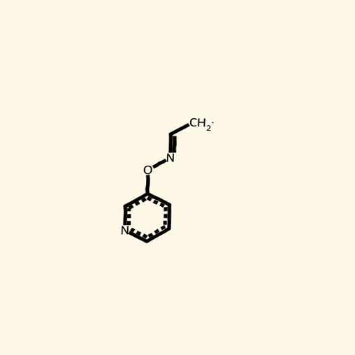 [CH2]C=NOc1cccnc1